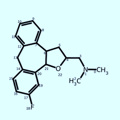 CN(C)CC1CC2c3ccccc3Cc3ccc(F)cc3C2O1